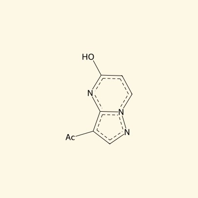 CC(=O)c1cnn2ccc(O)nc12